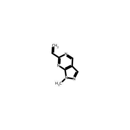 C=Cc1ncc2cnn(C)c2n1